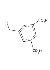 O=C(O)c1cc(CCl)cc(C(=O)O)c1